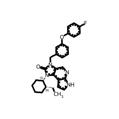 CC[C@@H]1CCCC[C@@H]1n1c(=O)n(Cc2cccc(Oc3ccc(F)cc3)c2)c2cnc3[nH]ccc3c21